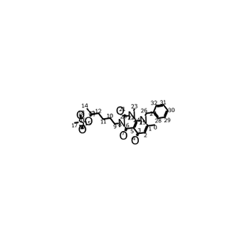 Cc1cc(=O)c2c(=O)n(CCCC[C@H](C)OS(C)(=O)=O)c(=O)n(C)c2n1Cc1ccccc1